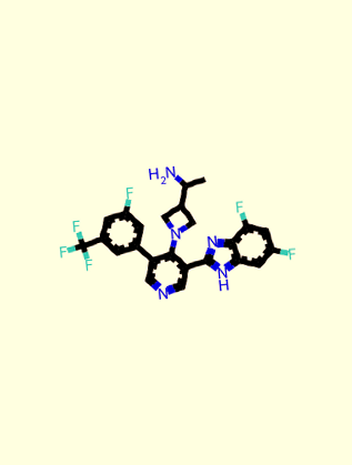 CC(N)C1CN(c2c(-c3cc(F)cc(C(F)(F)F)c3)cncc2-c2nc3c(F)cc(F)cc3[nH]2)C1